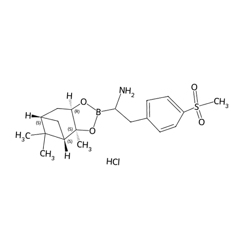 CC1(C)[C@@H]2C[C@H]3OB(C(N)Cc4ccc(S(C)(=O)=O)cc4)O[C@@]3(C)[C@H]1C2.Cl